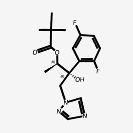 C[C@@H](OC(=O)C(C)(C)C)[C@](O)(Cn1cncn1)c1cc(F)ccc1F